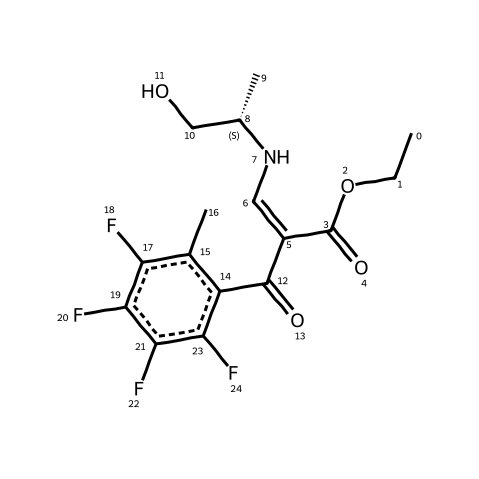 CCOC(=O)C(=CN[C@@H](C)CO)C(=O)c1c(C)c(F)c(F)c(F)c1F